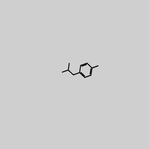 C[C](C)Cc1ccc(C)cc1